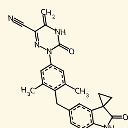 C=C1NC(=O)N(c2cc(C)c(Cc3ccc4c(c3)C3(CC3)C(=O)N4)c(C)c2)N=C1C#N